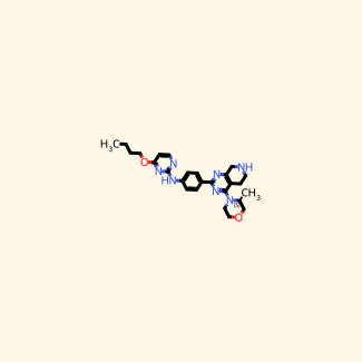 CCCCOc1ccnc(Nc2ccc(-c3nc4c(c(N5CCOC[C@@H]5C)n3)CCNC4)cc2)n1